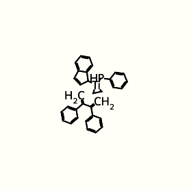 C1=C[CH]([Ti]2([PH]c3ccccc3)[CH2][CH2]2)c2ccccc21.C=C(C(=C)c1ccccc1)c1ccccc1